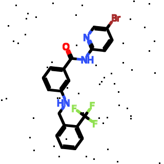 O=C(Nc1ccc(Br)cn1)c1cccc(NCc2ccccc2C(F)(F)F)c1